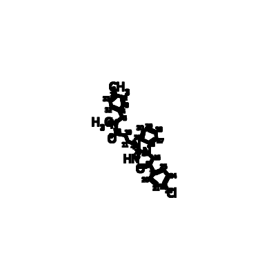 Cc1ccc(CN(C)C(=O)CCn2c(=N)n(CC(=O)c3ccc(Cl)cc3)c3ccccc32)cc1